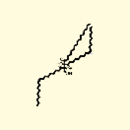 CCCCCCCC/C=C\CCCCCCCC(=O)C(O)(CO)C(O)(C(=O)CCCCCCC/C=C\CCCCCCCC)C(=O)CCCCCCCCCCCCCCC